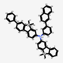 C[Si]1(C)c2ccccc2-c2cc(N(c3cccc(-c4ccc5ccccc5c4)c3)c3ccc4c(c3)[Si](C)(C)c3cc(-c5ccccc5)ccc3-4)ccc21